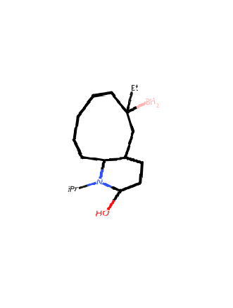 BC1(CC)CCCCCC2C(CCC(O)N2C(C)C)C1